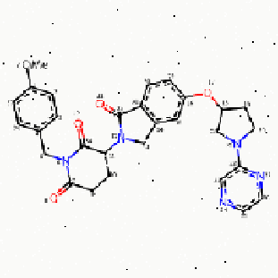 COc1ccc(CN2C(=O)CCC(N3Cc4cc(OC5CCN(c6cnccn6)C5)ccc4C3=O)C2=O)cc1